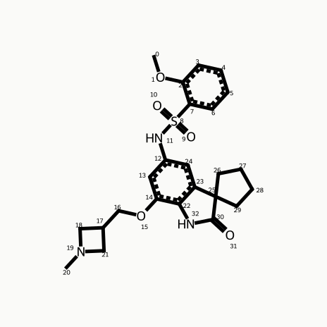 COc1ccccc1S(=O)(=O)Nc1cc(OCC2CN(C)C2)c2c(c1)C1(CCCC1)C(=O)N2